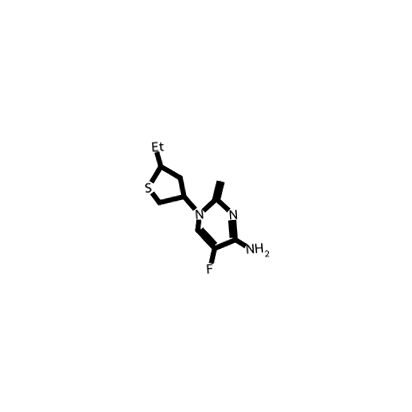 C=C1N=C(N)C(F)=CN1C1CSC(CC)C1